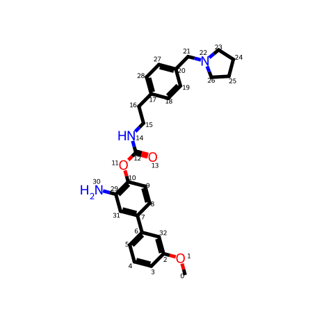 COc1cccc(-c2ccc(OC(=O)NCCc3ccc(CN4CCCC4)cc3)c(N)c2)c1